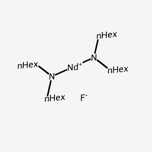 CCCCCC[N](CCCCCC)[Nd+][N](CCCCCC)CCCCCC.[F-]